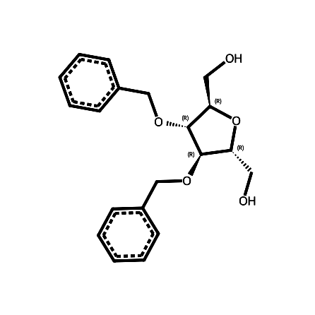 OC[C@H]1O[C@H](CO)[C@@H](OCc2ccccc2)[C@@H]1OCc1ccccc1